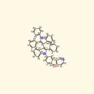 c1ccc(-c2c(-c3c(-c4ccccc4)n(-c4ccc5oc6ccncc6c5c4)c4ccccc34)c3ccccc3n2-c2ccccc2)cc1